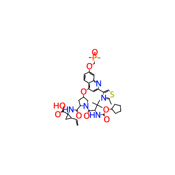 C=CC1CC1(NC(=O)C1CC(Oc2cc(-c3csc(C)n3)nc3cc(OCP(C)(C)=O)ccc23)CN1C(=O)C(NC(=O)OC1CCCC1)C(C)(C)C)C(=O)O